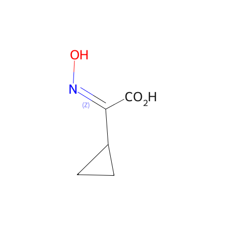 O=C(O)/C(=N\O)C1CC1